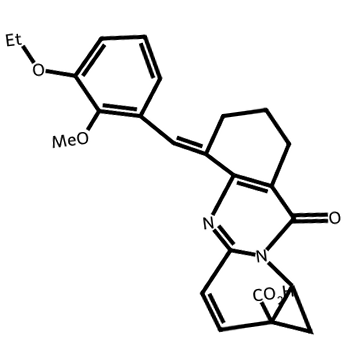 CCOc1cccc(/C=C2\CCCc3c2nc2n(c3=O)C3CC3(C(=O)O)C=C2)c1OC